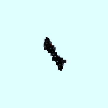 C[C@H]1[C@H]2[C@H](C[C@]3(C(=O)C[C@H]4[C@H]3CC[C@H]3Cc5nc6c(nc5C[C@@]34C)C[C@@H]3CC[C@@H]4[C@H](CC(=O)[C@]45C[C@@H]4O[C@]7(CCC(C)(C)O7)[C@@H](C)[C@@H]4[C@]5(C)O)[C@@]3(C)C6)[C@@]2(C)O)O[C@]12CCC(C)(C)O2